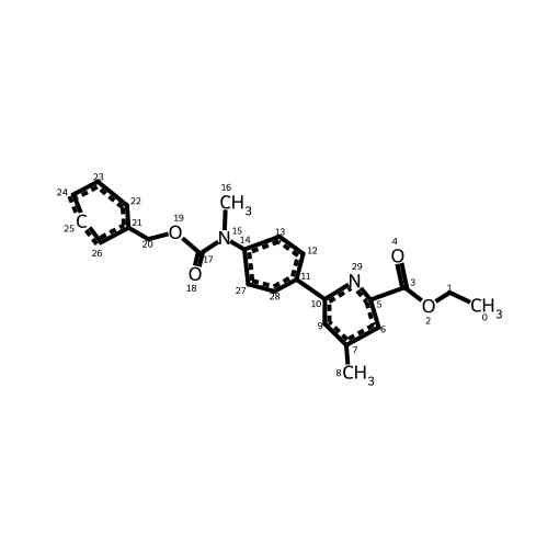 CCOC(=O)c1cc(C)cc(-c2ccc(N(C)C(=O)OCc3ccccc3)cc2)n1